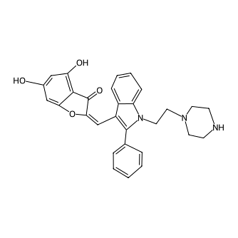 O=C1C(=Cc2c(-c3ccccc3)n(CCN3CCNCC3)c3ccccc23)Oc2cc(O)cc(O)c21